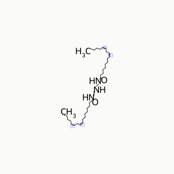 CCCCC/C=C\C/C=C\CCCCCCCC(=O)NCCNCCNC(=O)CCCCCCC/C=C\C/C=C\CCCCC